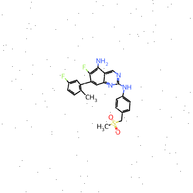 Cc1ccc(F)cc1-c1cc2nc(Nc3ccc(CS(C)(=O)=O)cc3)ncc2c(N)c1F